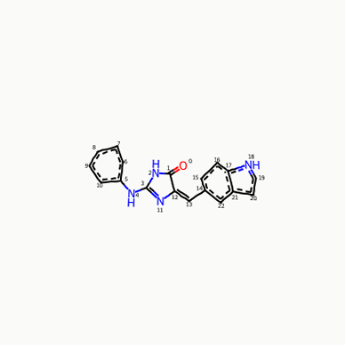 O=C1NC(Nc2ccccc2)=NC1=Cc1ccc2[nH]ccc2c1